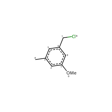 COc1cc(C)cc(CCl)c1